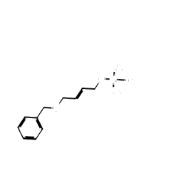 CC(C)[Si](OCC=CCOCc1ccccc1)(C(C)C)C(C)C